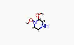 COC1CNCCN1OC